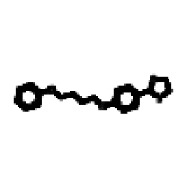 c1ccc(OCCCCOc2ccc(C3SCCS3)cc2)cc1